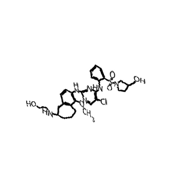 COc1c(Nc2ncc(Cl)c(Nc3ccccc3S(=O)(=O)N3CCC(CO)C3)n2)ccc2c1CCCC(NCCO)C2